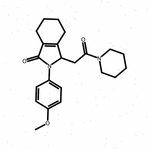 COc1ccc(N2C(=O)C3=C(CCCC3)C2CC(=O)N2CCCCC2)cc1